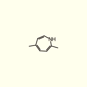 CC1=CC=C(C)NC=C1